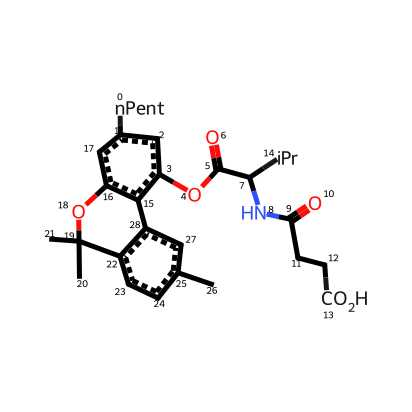 CCCCCc1cc(OC(=O)C(NC(=O)CCC(=O)O)C(C)C)c2c(c1)OC(C)(C)c1ccc(C)cc1-2